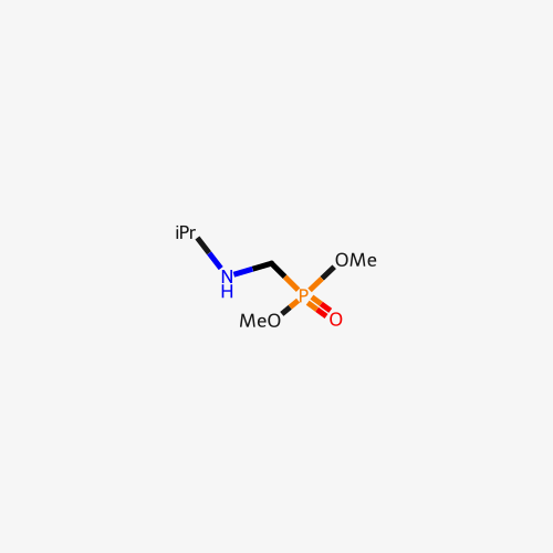 COP(=O)(CNC(C)C)OC